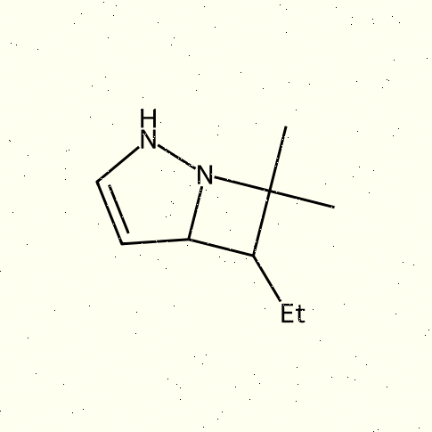 CCC1C2C=CNN2C1(C)C